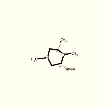 CCCCC[C@@H]1CN(C)C[C@H](C)N1C